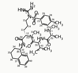 CN[C@@H](C)C(=O)N[C@H](C(=O)N(C)[C@@H](CCCN(C(=N)N)S(=O)(=O)c1ccc(C)cc1)C(=O)N[C@@H]1CCCc2ccccc21)C(C)C